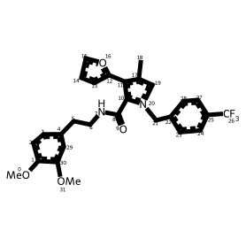 COc1ccc(CCNC(=O)c2c(-c3ccco3)c(C)cn2Cc2ccc(C(F)(F)F)cc2)cc1OC